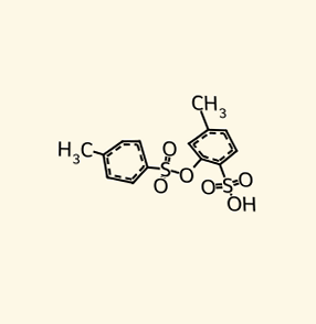 Cc1ccc(S(=O)(=O)Oc2cc(C)ccc2S(=O)(=O)O)cc1